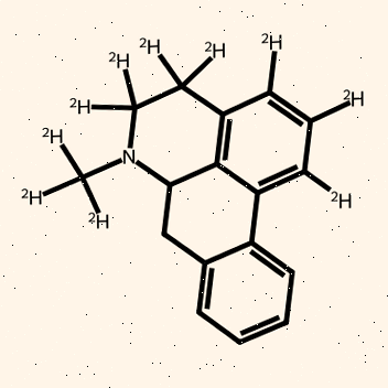 [2H]c1c([2H])c2c3c(c1[2H])C([2H])([2H])C([2H])([2H])N(C([2H])([2H])[2H])C3Cc1ccccc1-2